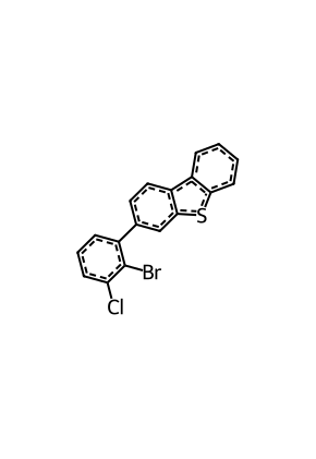 Clc1cccc(-c2ccc3c(c2)sc2ccccc23)c1Br